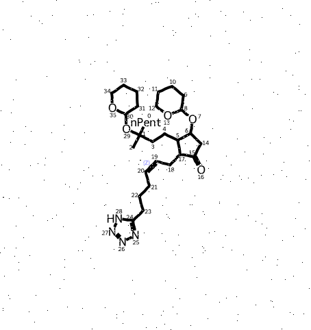 CCCCCC(C)(CCC1C(OC2CCCCO2)CC(=O)C1C/C=C\CCCc1nnn[nH]1)OC1CCCCO1